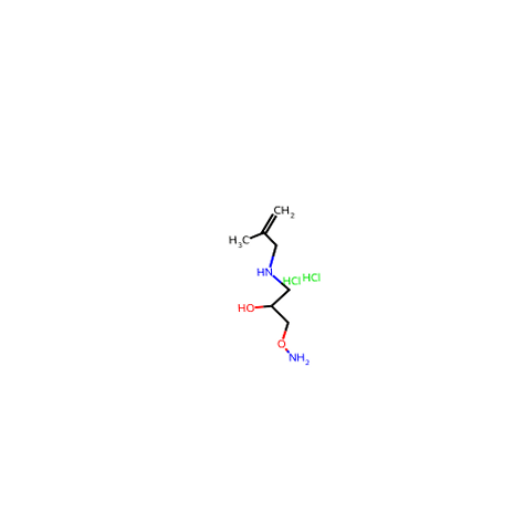 C=C(C)CNCC(O)CON.Cl.Cl